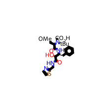 COCC(C(=O)N[C@H](Cc1ccccc1)[C@H](O)C(=O)NCc1nccs1)N(C(=O)O)C(C)(C)C